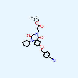 CCOC(=O)CCN1CC(=O)N(C2CCCCC2)c2ccc(OCc3ccc(C#N)cc3)cc2C1=O